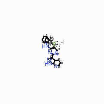 O=C(O)[C@@H]1C2CCC(CC2)[C@H]1Nc1nc(-c2n[nH]c3ncccc23)ncc1F